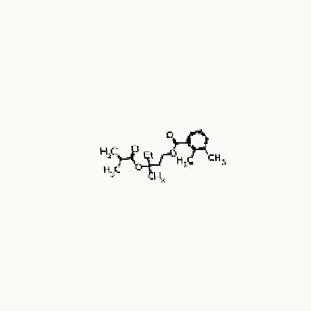 C=C(C)C(=O)OC(C)(CC)CCOC(=O)c1cccc(C)c1C